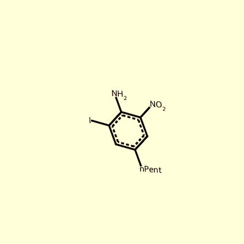 CCCCCc1cc(I)c(N)c([N+](=O)[O-])c1